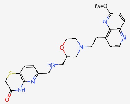 COc1ccc2nccc(CCN3CCO[C@H](CNCc4ccc5c(n4)NC(=O)CS5)C3)c2n1